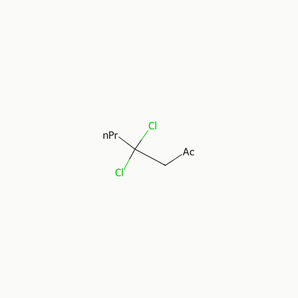 CCCC(Cl)(Cl)CC(C)=O